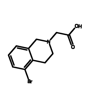 O=C(O)CN1CCc2c(Br)cccc2C1